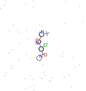 CC(C)(C)c1cc(-c2cc(-c3ccc(C(=O)N4CCCCC4)cc3Cl)no2)ccn1